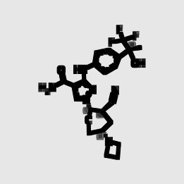 C[C@@](O)(c1ccc(Nc2nn([C@H]3CC[C@@H](N4CCC4)C[C@@H]3C#N)cc2C(N)=O)cc1)C(F)(F)F